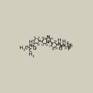 CC(C)NC(=O)c1cccc(-c2ccn3c(-c4cccc(NC(=O)NCC(F)(F)F)c4)cnc3c2)c1